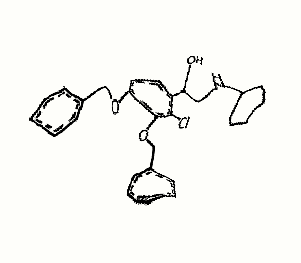 OC(CNC1CCCC1)c1ccc(OCc2ccccc2)c(OCc2ccccc2)c1Cl